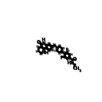 CCNC(=O)c1cc(F)c(N2CCN(Cc3ccc4c5c(c(=O)[nH]c4c3)CCCN5)CC2)c(F)c1